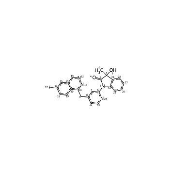 CC1(O)C(=O)N(c2cc(Cc3nncc4cc(F)ccc34)ccn2)c2ccccc21